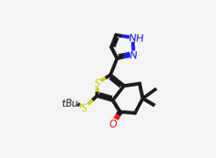 CC1(C)CC(=O)c2c(SC(C)(C)C)sc(-c3cc[nH]n3)c2C1